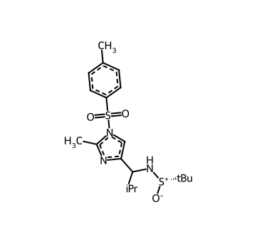 Cc1ccc(S(=O)(=O)n2cc(C(N[S@@+]([O-])C(C)(C)C)C(C)C)nc2C)cc1